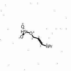 CCCC=CCO[SH](=O)=O